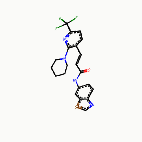 O=C(/C=C/c1ccc(C(F)(F)F)nc1N1CCCCC1)Nc1ccc2ncsc2c1